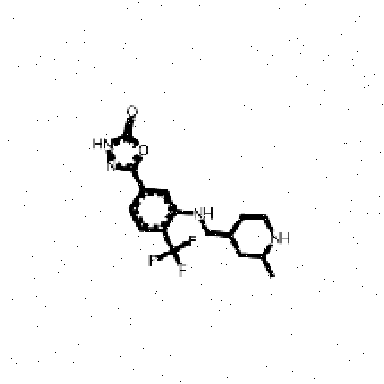 CC1CC(CNc2cc(-c3n[nH]c(=O)o3)ccc2C(F)(F)F)CCN1